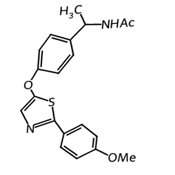 COc1ccc(-c2ncc(Oc3ccc(C(C)NC(C)=O)cc3)s2)cc1